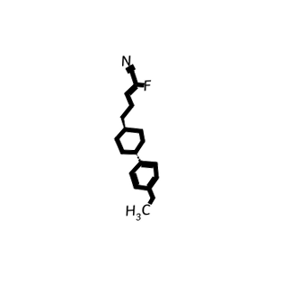 CCc1ccc([C@H]2CC[C@H](CCC=C(F)C#N)CC2)cc1